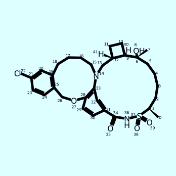 C[C@@H]1CCCC[C@@](C)(O)[C@@H]2CC[C@H]2CN2CCCCc3cc(Cl)ccc3COc3ccc(cc32)C(=O)NS1(=O)=O